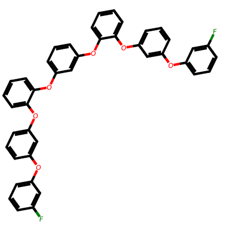 Fc1cccc(Oc2cccc(Oc3ccccc3Oc3cccc(Oc4ccccc4Oc4cccc(Oc5cccc(F)c5)c4)c3)c2)c1